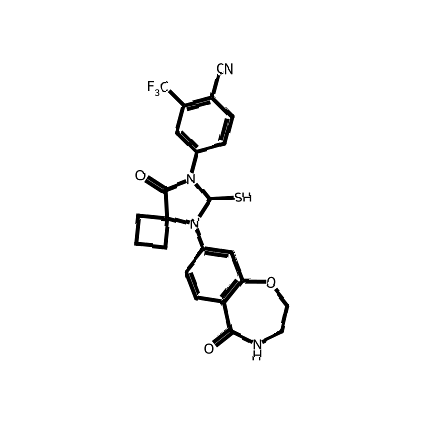 N#Cc1ccc(N2C(=O)C3(CCC3)N(c3ccc4c(c3)OCCNC4=O)C2S)cc1C(F)(F)F